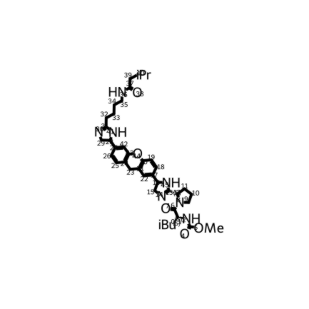 CC[C@H](C)[C@H](NC(=O)OC)C(=O)N1CCC[C@H]1C1=NCC(c2ccc3c(c2)Cc2ccc(C4CN=C(CCCCNC(=O)CC(C)C)N4)cc2O3)N1